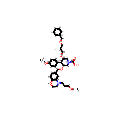 COCCCN1CCOc2ccc(CO[C@H]3CN(C(=O)O)C[C@@H](OC[C@H](F)COCc4ccccc4)[C@@H]3c3ccc(OC)cc3)cc21